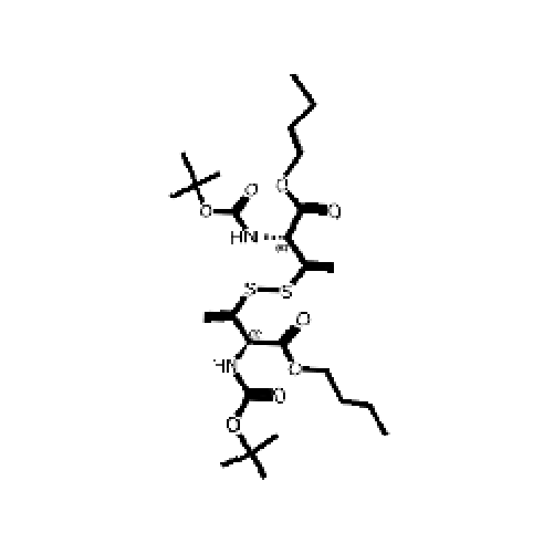 C=C(SSC(=C)[C@H](NC(=O)OC(C)(C)C)C(=O)OCCCC)[C@H](NC(=O)OC(C)(C)C)C(=O)OCCCC